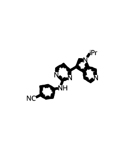 CC(C)n1cc(-c2ccnc(Nc3ccc(C#N)cc3)n2)c2ccncc21